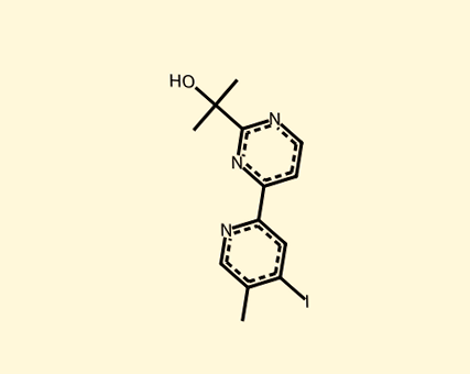 Cc1cnc(-c2ccnc(C(C)(C)O)n2)cc1I